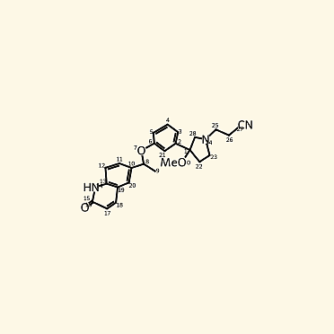 COC1(c2cccc(OC(C)c3ccc4[nH]c(=O)ccc4c3)c2)CCN(CCC#N)C1